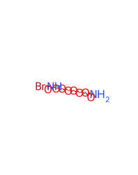 NC(=O)CCOCCOCCOCCOCCOCCOCCNC(=O)CBr